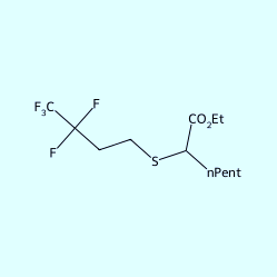 CCCCCC(SCCC(F)(F)C(F)(F)F)C(=O)OCC